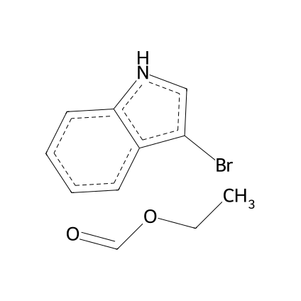 Brc1c[nH]c2ccccc12.CCOC=O